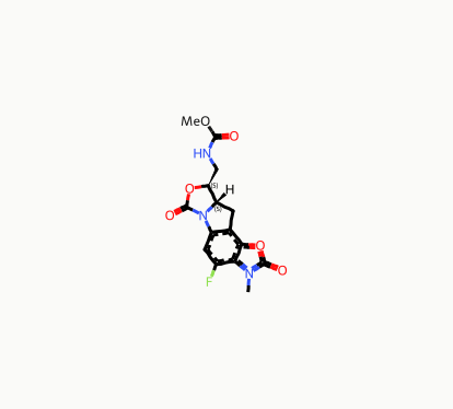 COC(=O)NC[C@@H]1OC(=O)N2c3cc(F)c4c(oc(=O)n4C)c3C[C@@H]12